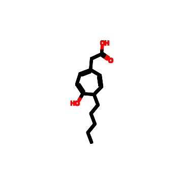 CCCCCC1C=CC(CC(=O)O)=CC=C1O